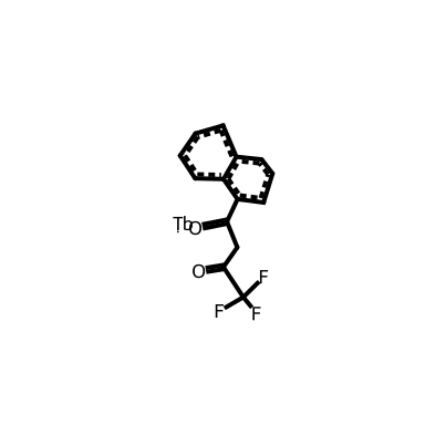 O=C(CC(=O)C(F)(F)F)c1cccc2ccccc12.[Tb]